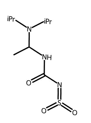 CC(C)N(C(C)C)C(C)NC(=O)N=S(=O)=O